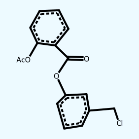 CC(=O)Oc1ccccc1C(=O)Oc1cccc(CCl)c1